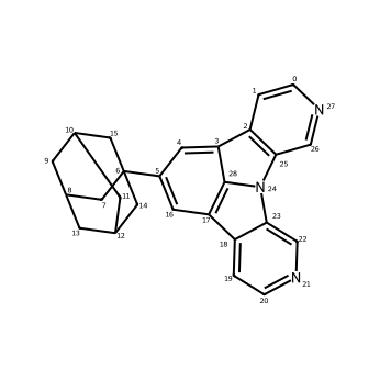 c1cc2c3cc(C45CC6CC(CC(C6)C4)C5)cc4c5ccncc5n(c2cn1)c34